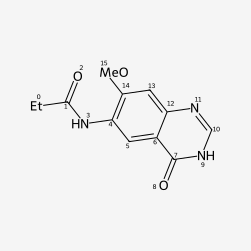 CCC(=O)Nc1cc2c(=O)[nH]cnc2cc1OC